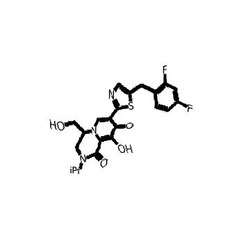 CC(C)N1CC(CO)n2cc(-c3ncc(Cc4ccc(F)cc4F)s3)c(=O)c(O)c2C1=O